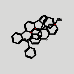 CC(C)(C)c1ccc2c(c1)C1(c3cc(C(C)(C)C)ccc3S2)c2ccccc2-c2ccc(-c3ccccc3N(c3ccccc3)c3ccc(-c4ccccc4)cc3)cc21